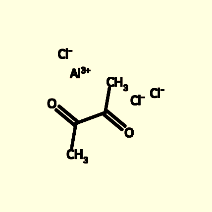 CC(=O)C(C)=O.[Al+3].[Cl-].[Cl-].[Cl-]